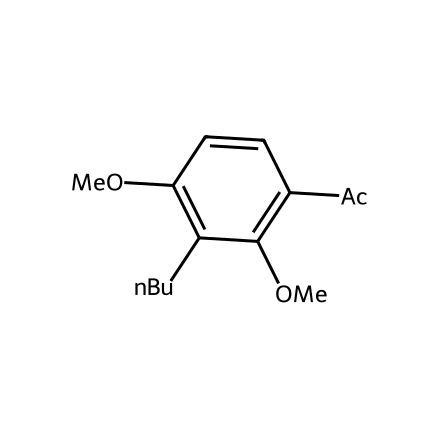 CCCCc1c(OC)ccc(C(C)=O)c1OC